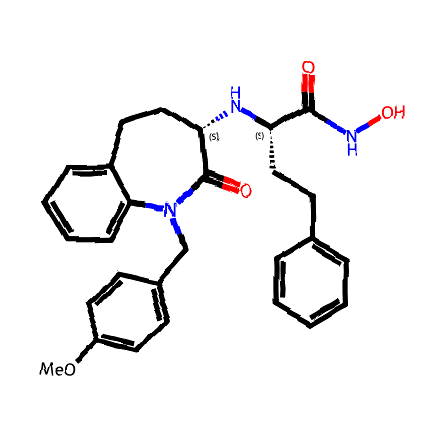 COc1ccc(CN2C(=O)[C@@H](N[C@@H](CCc3ccccc3)C(=O)NO)CCc3ccccc32)cc1